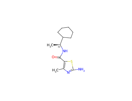 Cc1nc(N)sc1C(=O)N[C@@H](C)C1CCCCC1